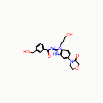 O=C(/N=c1\[nH]c2cc(N3CCOCC3=O)ccc2n1CCCO)c1cccc(CO)c1